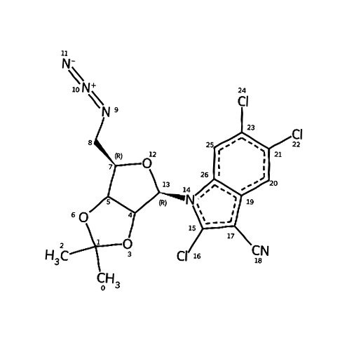 CC1(C)OC2C(O1)[C@@H](CN=[N+]=[N-])O[C@H]2n1c(Cl)c(C#N)c2cc(Cl)c(Cl)cc21